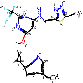 Cc1ccc([C@H]2C[C@@H]2COc2cc(NCc3nnc(C)s3)nc(C(F)(F)F)n2)nc1